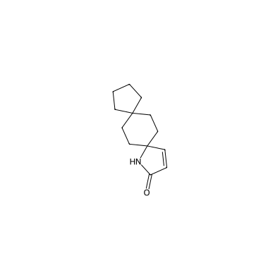 O=C1C=CC2(CCC3(CCCC3)CC2)N1